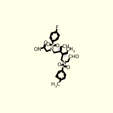 C/C=C(CN(CC=O)S(=O)(=O)c1ccc(C)cc1)\C(=C/C)CN(CC(=O)N=O)S(=O)(=O)c1ccc(F)cc1